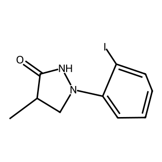 CC1CN(c2ccccc2I)NC1=O